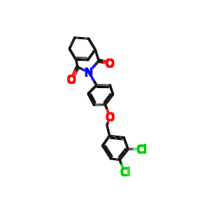 O=C1C2=CC(CCC2)C(=O)N1c1ccc(OCc2ccc(Cl)c(Cl)c2)cc1